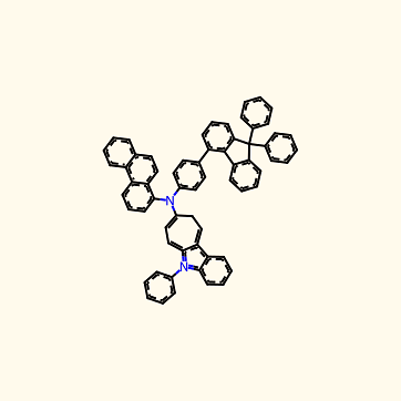 C1=C(N(c2ccc(-c3cccc4c3-c3ccccc3C4(c3ccccc3)c3ccccc3)cc2)c2cccc3c2ccc2ccccc23)CC=c2c(n(-c3ccccc3)c3ccccc23)=C1